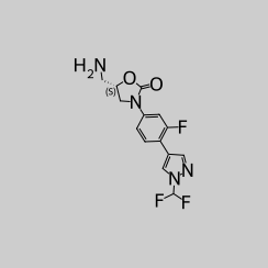 NC[C@H]1CN(c2ccc(-c3cnn(C(F)F)c3)c(F)c2)C(=O)O1